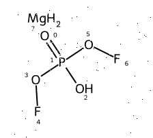 O=P(O)(OF)OF.[MgH2]